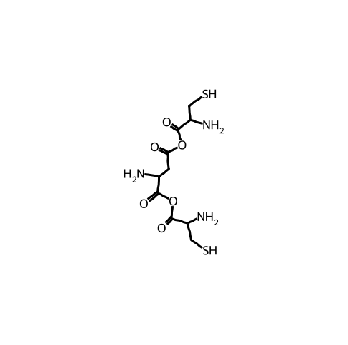 NC(CS)C(=O)OC(=O)CC(N)C(=O)OC(=O)C(N)CS